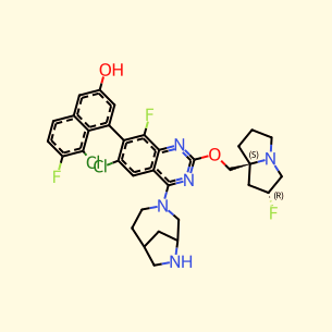 Oc1cc(-c2c(Cl)cc3c(N4CCC5CNC(C5)C4)nc(OC[C@@]45CCCN4C[C@H](F)C5)nc3c2F)c2c(Cl)c(F)ccc2c1